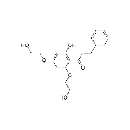 O=C(/C=C/c1ccccc1)c1c(O)cc(OCCO)cc1OCCO